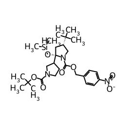 C[SiH](C)O[C@]1(C2CCN(C(=O)OC(C)(C)C)C2)C[C@H](C(C)(C)C)CN1C(=O)OCc1ccc([N+](=O)[O-])cc1